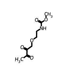 COC(=O)NCCOCC(=O)C(C)=O